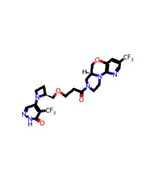 O=C(CCOC[C@@H]1CCN1c1cn[nH]c(=O)c1C(F)(F)F)N1CCN2c3ncc(C(F)(F)F)cc3OC[C@@H]2C1